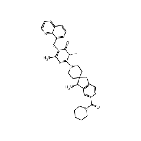 Cn1c(N2CCC3(CC2)Cc2ccc(C(=O)N4CCCCC4)cc2[C@H]3N)nc(N)c(Sc2cccc3cccnc23)c1=O